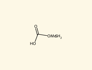 COC(=O)O.S